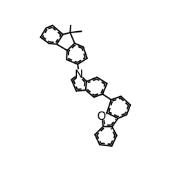 CC1(C)c2ccccc2-c2cc(-n3ccc4cc(-c5cccc6c5oc5ccccc56)ccc43)ccc21